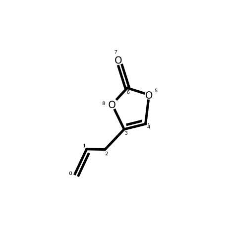 C=CCc1[c]oc(=O)o1